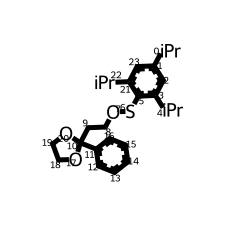 CC(C)c1cc(C(C)C)c(SOCCC2(c3ccccc3)OCCO2)c(C(C)C)c1